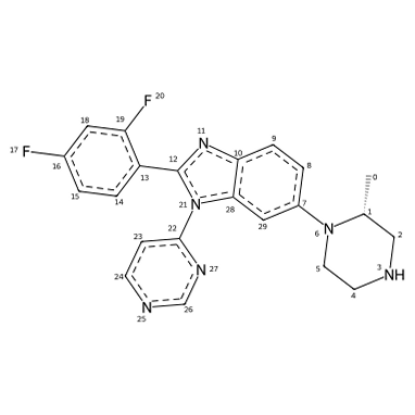 C[C@@H]1CNCCN1c1ccc2nc(-c3ccc(F)cc3F)n(-c3ccncn3)c2c1